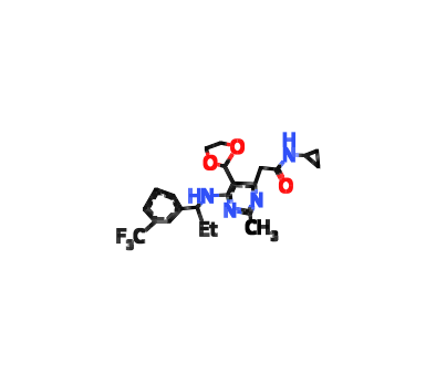 CCC(Nc1nc(C)nc(CC(=O)NC2CC2)c1C1OCCO1)c1cccc(C(F)(F)F)c1